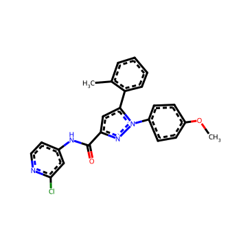 COc1ccc(-n2nc(C(=O)Nc3ccnc(Cl)c3)cc2-c2ccccc2C)cc1